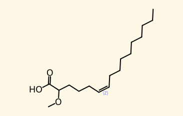 CCCCCCCCC/C=C\CCCC(OC)C(=O)O